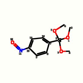 CO[Si](OC)(OC)c1ccc(N=O)cc1